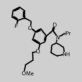 COCCCOc1cc(OCc2ccccc2F)cc(C(=O)N(C(C)C)[C@@H]2CCCNC2)c1